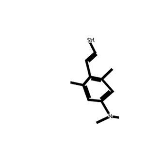 Cc1cc(N(C)C)cc(C)c1/C=C/S